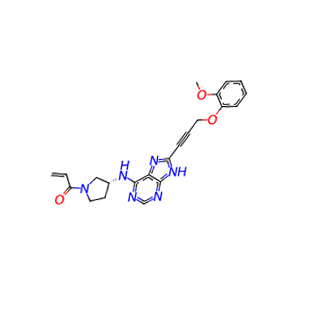 C=CC(=O)N1CC[C@@H](Nc2ncnc3[nH]c(C#CCOc4ccccc4OC)nc23)C1